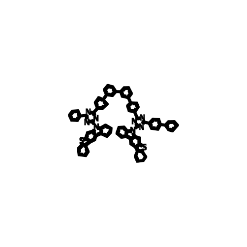 C1=Cc2c(sc3cc4c(cc23)c2ccccc2n4-c2nc(-c3ccc(-c4ccccc4)cc3)nc(-c3ccc(-c4cccc(-c5cccc(-c6ccc(-c7nc(-c8ccccc8)nc(-n8c9ccccc9c9cc%10c(cc98)sc8ccccc8%10)n7)cc6)c5)c4)cc3)n2)CC1